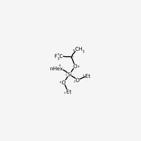 CCCCCC[Si](OCC)(OCC)OC(C)C(F)(F)F